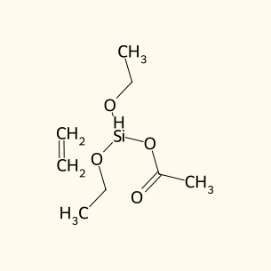 C=C.CCO[SiH](OCC)OC(C)=O